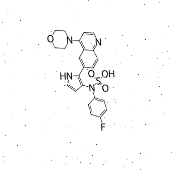 O=S(=O)(O)N(c1ccc(F)cc1)c1c[c][nH]c1-c1ccc2nccc(N3CCOCC3)c2c1